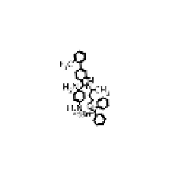 CC(CCO[Si](c1ccccc1)(c1ccccc1)C(C)(C)C)n1nc2cc(-c3ccccc3C(F)(F)F)ccc2c1C1(N)C=CC(N)=CC1